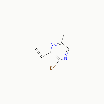 C=Cc1nc(C)cnc1Br